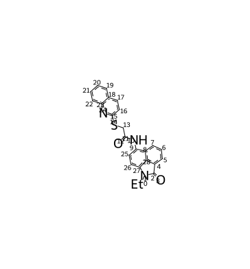 CCN1C(=O)c2cccc3c(NC(=O)CSc4ccc5ccccc5n4)ccc1c23